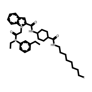 CCc1cccc(N(CC)C(=O)Cn2c(C(=O)NC3CCC(C(=O)NCCCCCCCCI)CC3)cc3ccccc32)c1